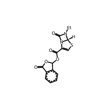 CCN1C(=O)N2C(C(=O)OC3OC(=O)c4ccccc43)=CS[C@@H]12